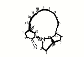 C1CCCCC2CCC3CCN(C3C2)N2CC(CCCC1)CCN2